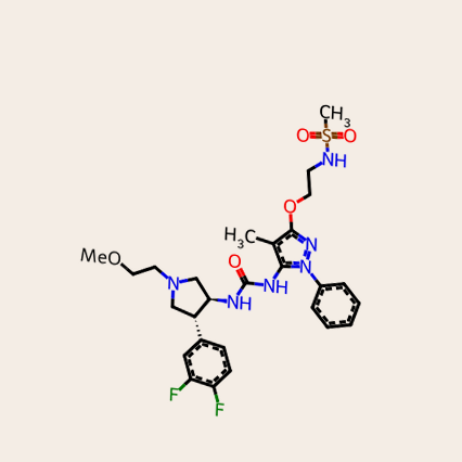 COCCN1C[C@@H](NC(=O)Nc2c(C)c(OCCNS(C)(=O)=O)nn2-c2ccccc2)[C@H](c2ccc(F)c(F)c2)C1